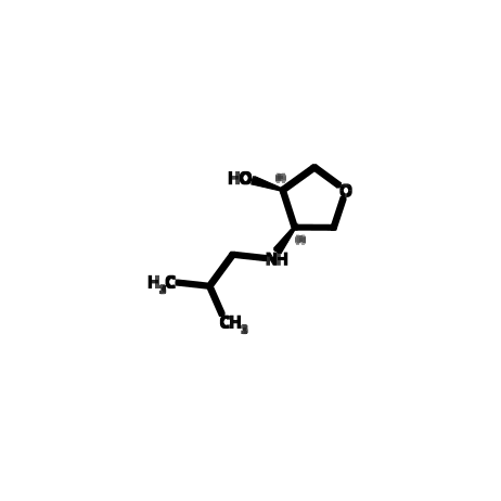 CC(C)CN[C@@H]1COC[C@@H]1O